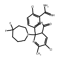 CC1=NC(c2ccc(Cl)c(C(=N)N)c2)(N2CCCC(F)(F)CC2)C(C(N)=O)C=C1Cl